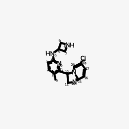 Cc1ccc(NC2CNC2)nc1C1CN=C2C=CC(Cl)=CN21